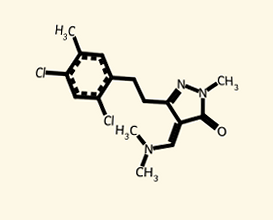 Cc1cc(CCC2=NN(C)C(=O)C2=CN(C)C)c(Cl)cc1Cl